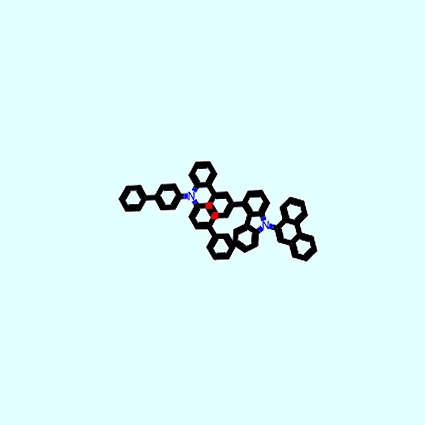 c1ccc(-c2ccc(N(c3ccc(-c4ccccc4)cc3)c3ccccc3-c3cccc(-c4cccc5c4c4ccccc4n5-c4cc5ccccc5c5ccccc45)c3)cc2)cc1